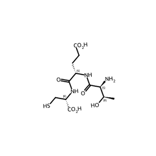 C[C@@H](O)[C@H](N)C(=O)N[C@@H](CCC(=O)O)C(=O)N[C@@H](CS)C(=O)O